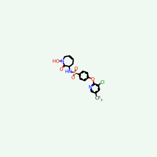 O=C1C(NS(=O)(=O)c2ccc(Oc3ncc(C(F)(F)F)cc3Cl)cc2)CC=CCN1O